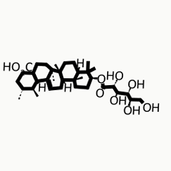 C[C@H]1[C@H](C)CC[C@]2(C(=O)O)CC[C@]3(C)C(=CC[C@@H]4[C@@]5(C)CC[C@H](OC(=O)[C@H](O)[C@@H](O)[C@H](O)[C@H](O)CO)C(C)(C)[C@@H]5CC[C@]43C)[C@H]12